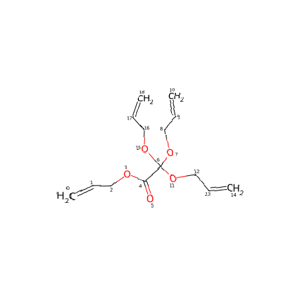 C=CCOC(=O)C(OCC=C)(OCC=C)OCC=C